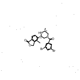 Cc1c([C@@H]2CN(C(=O)c3cc(Br)cc(Br)c3)C[C@H](C)N2)ccc2c1COC2=O